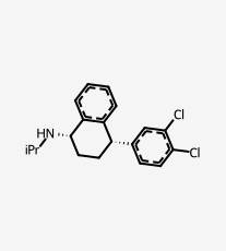 CC(C)N[C@H]1CC[C@@H](c2ccc(Cl)c(Cl)c2)c2ccccc21